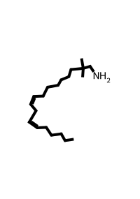 CCCCC/C=C\C/C=C\CCCCCCC(C)(C)CN